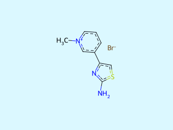 C[n+]1cccc(-c2csc(N)n2)c1.[Br-]